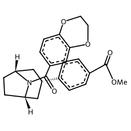 COC(=O)c1ccc([C@H]2C[C@H]3CC[C@@H](C2)N3C(=O)c2ccc3c(c2)OCCO3)cc1